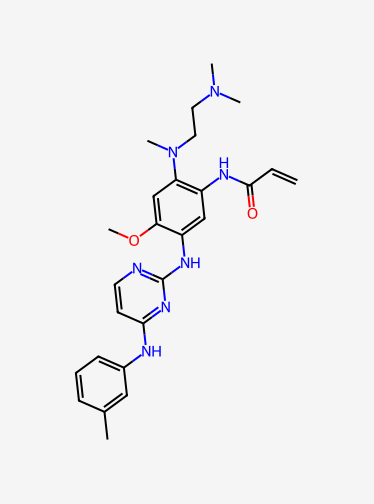 C=CC(=O)Nc1cc(Nc2nccc(Nc3cccc(C)c3)n2)c(OC)cc1N(C)CCN(C)C